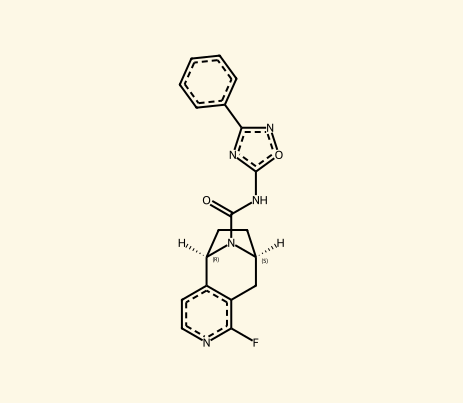 O=C(Nc1nc(-c2ccccc2)no1)N1[C@H]2CC[C@@H]1c1ccnc(F)c1C2